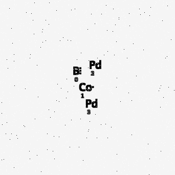 [B].[Co].[Pd].[Pd]